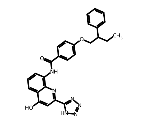 CCC(COc1ccc(C(=O)Nc2cccc3c(O)cc(-c4nnn[nH]4)nc23)cc1)c1ccccc1